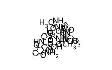 CC(N)C(=O)NC(C)C(=O)N1CCCC1C(=O)NC(Cc1ccccc1)C(C)NC(C)C(=O)NCCS(=O)(=O)c1cccc(Nc2cc(S(=O)(=O)O)c(N)c3c2C(=O)c2ccccc2C3=O)c1